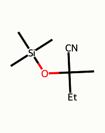 CCC(C)(C#N)O[Si](C)(C)C